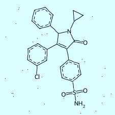 NS(=O)(=O)c1ccc(C2=C(c3cccc(Cl)c3)C(c3ccccc3)N(C3CC3)C2=O)cc1